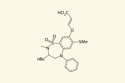 CCCCC1CN(c2ccccc2)c2cc(SC)c(O/C=C/C(=O)O)cc2S(=O)(=O)N1C